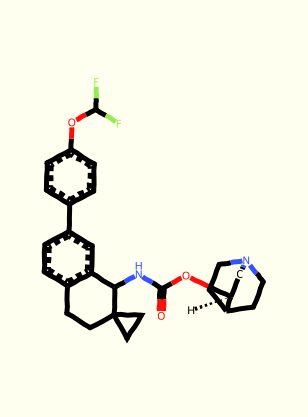 O=C(NC1c2cc(-c3ccc(OC(F)F)cc3)ccc2CCC12CC2)O[C@H]1CN2CCC1CC2